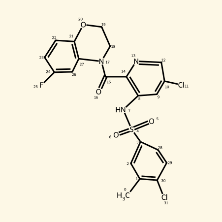 Cc1cc(S(=O)(=O)Nc2cc(Cl)cnc2C(=O)N2CCOc3ccc(F)cc32)ccc1Cl